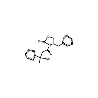 CC(O)(CC(=O)N1C(=O)OCC1Cc1ccccc1)c1ccccc1